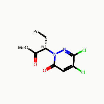 COC(=O)[C@H](CC(C)C)n1nc(Cl)c(Cl)cc1=O